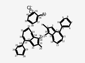 Cc1cc2c(-c3ccccc3)ccccc-2[c]1[Zr+2][c]1c(C)cc2c(-c3ccccc3)ccccc1-2.[Al][c]1ccccc1.[Cl-].[Cl-]